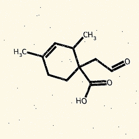 CC1=CC(C)C(CC=O)(C(=O)O)CC1